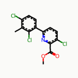 COC(=O)c1nc(-c2ccc(Cl)c(C)c2Cl)ccc1Cl